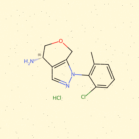 Cc1cccc(Cl)c1-n1ncc2c1COC[C@H]2N.Cl